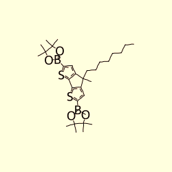 CCCCCCCCC1(C)c2cc(B3OC(C)(C)C(C)(C)O3)sc2-c2sc(B3OC(C)(C)C(C)(C)O3)cc21